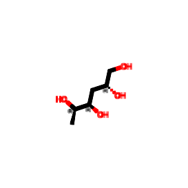 C[C@@H](O)[C@H](O)C[C@@H](O)CO